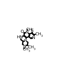 Cc1ncc2c3c(c(=O)n(C)c2c1F)NCC1CN(C)C(C)CN31